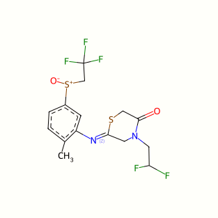 Cc1ccc([S+]([O-])CC(F)(F)F)cc1/N=C1/CN(CC(F)F)C(=O)CS1